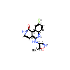 CC(C)(C)c1oncc1Nc1nc2ccc(F)cc2c2c(=O)[nH]ccc12